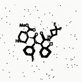 COC(=O)N1CCNC[C@H]1C(=O)N(c1cccc(F)c1)[C@@H](C(=O)NC1CC(F)(F)C1)c1ccccc1Cl